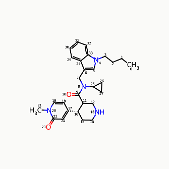 CCCCn1cc(CN(C(=O)C2CNCC[C@@H]2c2ccn(C)c(=O)c2)C2CC2)c2ccccc21